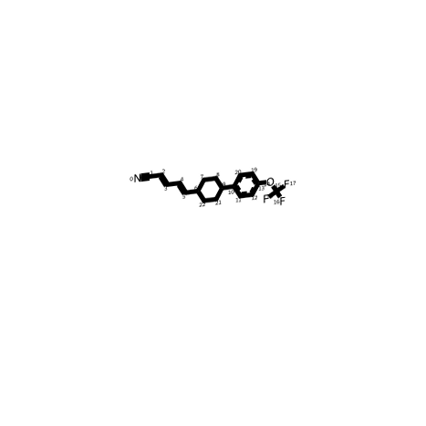 N#CC=CC=CC1CCC(c2ccc(OC(F)(F)F)cc2)CC1